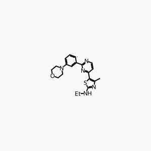 CCNc1nc(C)c(-c2ccnc(-c3[c]ccc(N4CCOCC4)c3)n2)s1